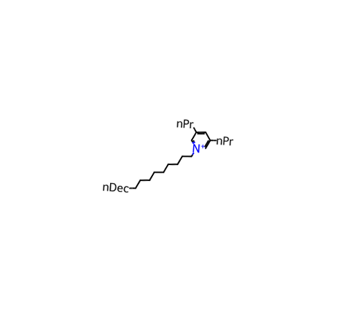 CCCCCCCCCCCCCCCCCCC[n+]1cc(CCC)cc(CCC)c1